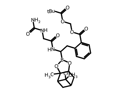 CC(C)(C)C(=O)OCOC(=O)c1ccccc1CC(NC(=O)CNC(N)=O)B1OC2CC3CC(C3(C)C)C2(C)O1